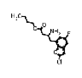 CCCCOC(=O)CC(N)Cc1cc(F)cc2cc(Cl)oc12